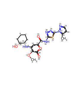 COc1c(N[C@H]2CCCC[C@H]2O)cc(C(=O)Nc2nnc(-n3nccc3C)s2)oc1=O